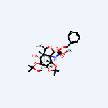 CO[C@H]1O[C@H](C(=O)OCc2ccccc2)[C@@]2(NC(=O)OC(C)(C)C)[C@@H]1[C@@H](O)[C@@]1(COC(C)(C)O1)[C@H]1OC(C)(C)O[C@H]12